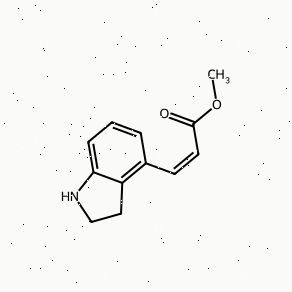 COC(=O)/C=C\c1cccc2c1CCN2